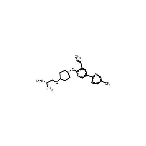 C/N=C/c1cc(-c2ncc(C(F)(F)F)cn2)cnc1O[C@H]1CC[C@H](OC[C@H](C)NC(C)=O)CC1